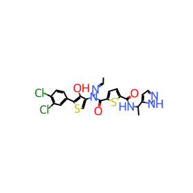 CC=NN(C(=O)c1ccc(C(=O)NC(C)c2ccn[nH]2)s1)c1csc(-c2ccc(Cl)c(Cl)c2)c1O